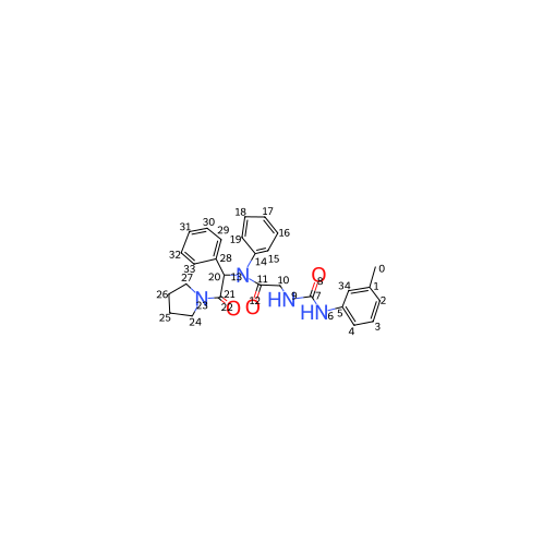 Cc1cccc(NC(=O)NCC(=O)N(c2ccccc2)C(C(=O)N2CCCC2)c2ccccc2)c1